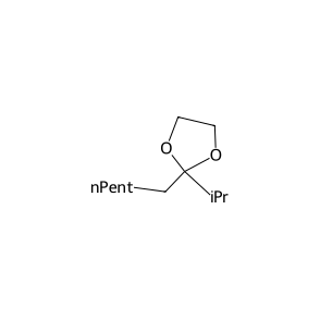 CCCCCCC1(C(C)C)OCCO1